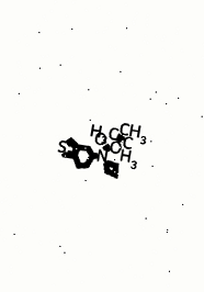 CC(C)(C)OC(=O)N(C1CCC1)C1CCc2cscc2C1